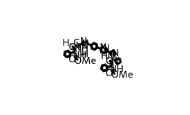 COC(=O)N[C@@H](C(=O)N[C@@H](C)c1ncc(-c2ccc(-c3ccc(-c4cnc([C@@H]5CCCN5C(=O)[C@H](NC(=O)OC)c5ccccc5)[nH]4)nn3)cc2)[nH]1)c1ccccc1